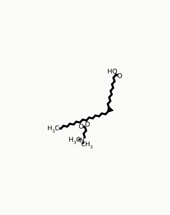 CCCCCCCCCC(CCCCCCC1CC1CCCCCCCCCC(=O)O)OC(=O)CCCN(C)C